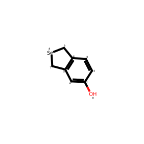 Oc1ccc2c(c1)C[Se]C2